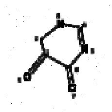 O=C1C[N]C=NC1=O